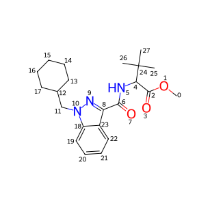 COC(=O)C(NC(=O)c1nn(CC2CCCCC2)c2ccccc12)C(C)(C)C